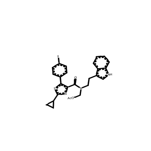 CC(=O)OCN(CCc1c[nH]c2ccccc12)C(=O)c1nc(C2CC2)sc1-c1ccc(F)cc1